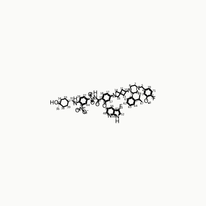 COc1cc(CN2CCN(C3CC4(C3)CN(c3ccc(C(=O)NS(=O)(=O)c5ccc(NC[C@H]6CC[C@](C)(O)CC6)c([N+](=O)[O-])c5)c(Oc5cnc6[nH]cc(F)c6c5)c3)C4)[C@H](c3ccccc3C(C)C)C2)ccc1F